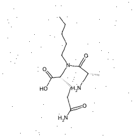 CCCCCN(C(=O)[C@H](C)N)[C@H](CCC(N)=O)C(=O)O